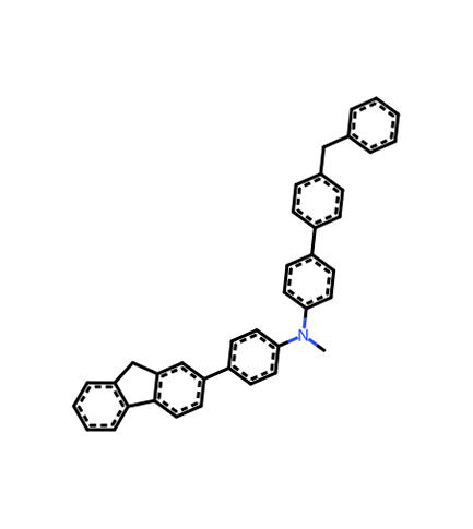 CN(c1ccc(-c2ccc(Cc3ccccc3)cc2)cc1)c1ccc(-c2ccc3c(c2)Cc2ccccc2-3)cc1